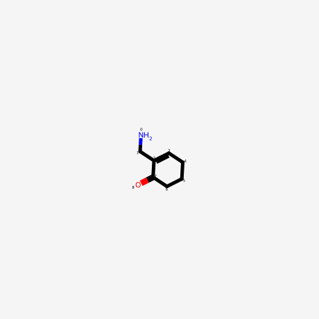 NCC1=CCCCC1=O